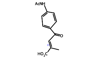 CC(=O)Nc1ccc(C(=O)/C=C(\C)C(=O)O)cc1